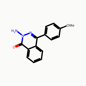 COc1ccc(-c2nn(N)c(=O)c3ccccc23)cc1